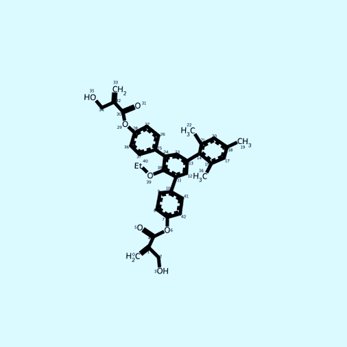 C=C(CO)C(=O)Oc1ccc(-c2cc(-c3c(C)cc(C)cc3C)cc(-c3ccc(OC(=O)C(=C)CO)cc3)c2OCC)cc1